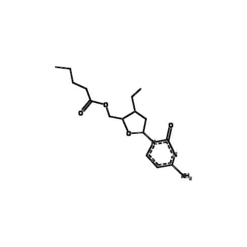 CCCCC(=O)OCC1OC(n2ccc(N)nc2=O)CC1CC